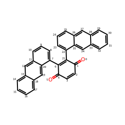 O=C1C=CC(=O)C(c2cccc3cc4ccccc4cc23)=C1c1cccc2cc3ccccc3cc12